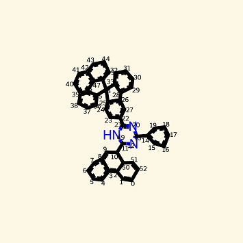 C1=CC2=c3ccccc3=CC(C3N=C(c4ccccc4)N=C(c4ccc5c(c4)-c4ccccc4C54c5cccc6ccc7cccc4c7c56)N3)C2C=C1